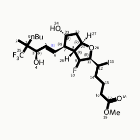 CCCCC(C)([C@H](O)/C=C/[C@@H]1[C@H]2C(F)[C@H](C(I)CCCC(=O)OC)O[C@@H]2C[C@H]1O)C(F)(F)F